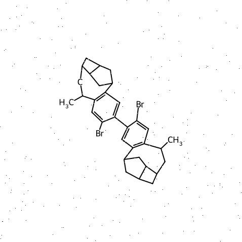 CC1CC2CC3CC(CC23)c2cc(-c3cc4c(cc3Br)C(C)CC3CC5CC4CC35)c(Br)cc21